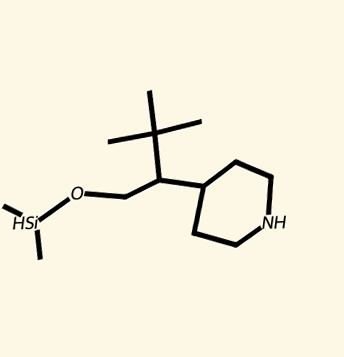 C[SiH](C)OCC(C1CCNCC1)C(C)(C)C